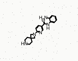 Nc1ccccc1NC(=O)c1ccc(N2CC3(CCNCC3)C2)nc1